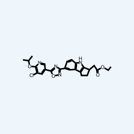 CCOC(=O)CC1CCc2c1[nH]c1ccc(-c3noc(-c4cnc(OC(C)C)c(Cl)c4)n3)cc21